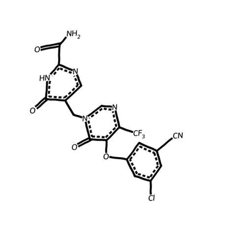 N#Cc1cc(Cl)cc(Oc2c(C(F)(F)F)ncn(Cc3cnc(C(N)=O)[nH]c3=O)c2=O)c1